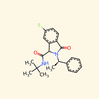 C[C@H](c1ccccc1)N1C(=O)c2ccc(F)cc2C1C(=O)NC(C)(C)C